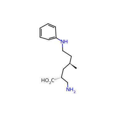 C[C@H](CCNc1ccccc1)C[C@H](CN)C(=O)O